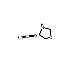 C1COCN1.N=C=O